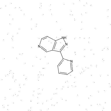 c1ccc(-c2n[nH]c3ccncc23)nc1